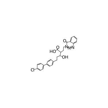 O=C(O)C(CCn1nnc2ccccc2c1=O)C(O)CCc1ccc(-c2ccc(Cl)cc2)cc1